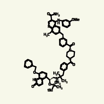 COc1cccc(Nc2c(C(N)=O)cnc3c(C)cc(Cc4cccc(C(=O)N5CCN(C(=O)c6cccc(CC(C)(C)NC[C@H](O[Si](C)(C)C(C)(C)C)c7ccc(OCc8ccccc8)c8[nH]c(=O)ccc78)c6)CC5)c4)cc23)c1